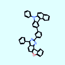 c1ccc(-c2nc(-c3cccc(-c4ccc5c(c4)c4c6ccccc6ccc4n5-c4ccccc4)c3)nc3c2ccc2oc4ccccc4c23)cc1